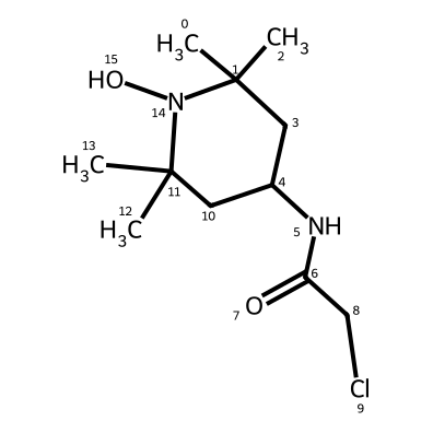 CC1(C)CC(NC(=O)CCl)CC(C)(C)N1O